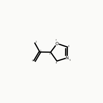 C=C(C)C1CN=CO1